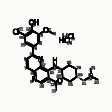 COc1cc(-c2ccc3ncc(C(C)=O)c(N[C@H]4CC[C@H](CN(C)C)CC4)c3n2)cc(Cl)c1O.Cl.Cl